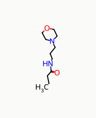 CCCC(=O)NCCCN1CCOCC1